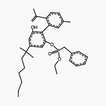 C=C(C)c1ccc(C)cc1-c1c(O)cc(C(C)(C)CCCCCC)cc1OP(=O)(Cc1ccccc1)OCC